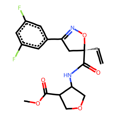 C=C[C@]1(C(=O)NC2COCC2C(=O)OC)CC(c2cc(F)cc(F)c2)=NO1